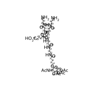 CC(=O)NC1C(OCCCCC(=O)NCCCNC(=O)CCOCC(COCCC(=O)NCCCN)(COCCC(=O)NCCCN)NC(=O)CCCC(=O)O)OC(COC(C)=O)C(OC(C)=O)C1OC(C)=O